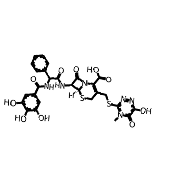 Cn1c(SCC2=C(C(=O)O)N3C(=O)C(NC(=O)C(NC(=O)c4cc(O)c(O)c(O)c4)c4ccccc4)[C@@H]3SC2)nnc(O)c1=O